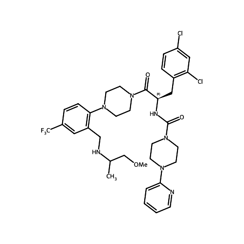 COCC(C)NCc1cc(C(F)(F)F)ccc1N1CCN(C(=O)[C@@H](Cc2ccc(Cl)cc2Cl)NC(=O)N2CCN(c3ccccn3)CC2)CC1